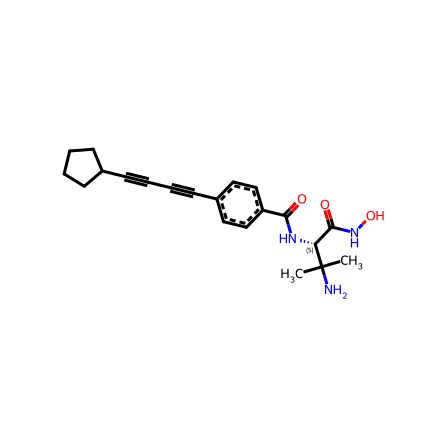 CC(C)(N)[C@H](NC(=O)c1ccc(C#CC#CC2CCCC2)cc1)C(=O)NO